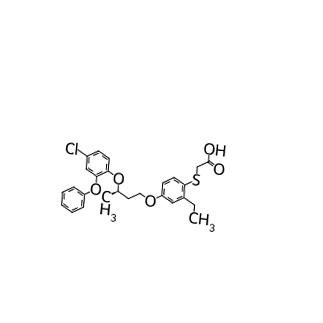 CCc1cc(OCC[C@@H](C)Oc2ccc(Cl)cc2Oc2ccccc2)ccc1SCC(=O)O